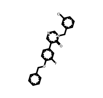 O=c1c(-c2ccc(OCc3ccccc3)c(F)c2)cncn1Cc1cccc(Cl)c1